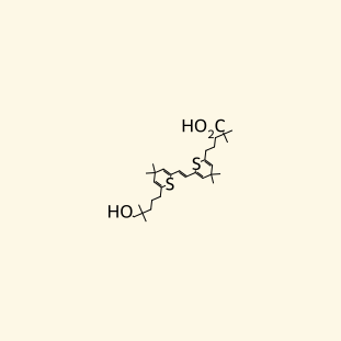 CC1(C)C=C(/C=C/C2=CC(C)(C)C=C(CCCC(C)(C)C(=O)O)S2)SC(CCCC(C)(C)CO)=C1